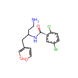 NCCC(CC1=COOC=C1)NC(=O)c1cc(Br)ccc1Cl